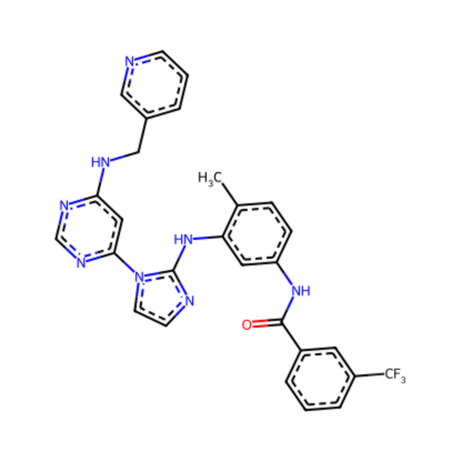 Cc1ccc(NC(=O)c2cccc(C(F)(F)F)c2)cc1Nc1nccn1-c1cc(NCc2cccnc2)ncn1